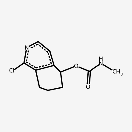 CNC(=O)OC1CCCc2c1ccnc2Cl